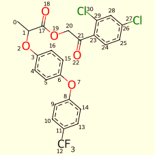 CC(Oc1ccc(Oc2ccc(C(F)(F)F)cc2)cc1)C(=O)OCC(=O)c1ccc(Cl)cc1Cl